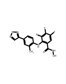 Cc1cc(-c2cnsn2)ccc1Nc1c(C(=O)NO)cc(F)c(F)c1F